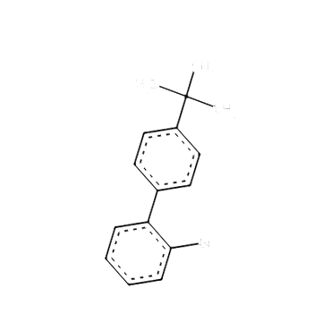 BC(B)(C)c1ccc(-c2ccccc2Br)cc1